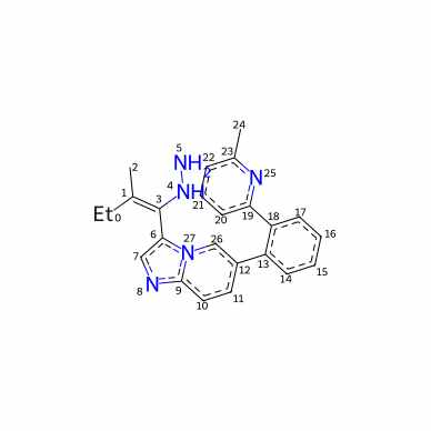 CC/C(C)=C(/NN)c1cnc2ccc(-c3ccccc3-c3cccc(C)n3)cn12